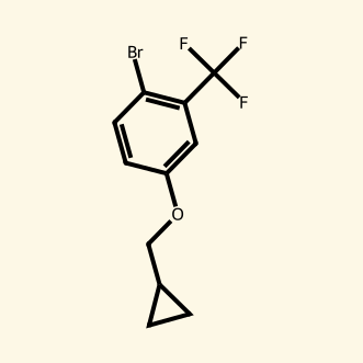 FC(F)(F)c1cc(OCC2CC2)ccc1Br